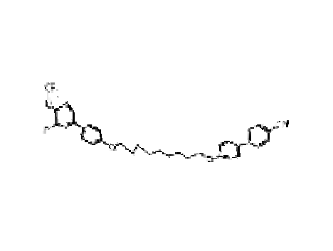 N#Cc1ccc(-c2ccc(OCCCCCCCCCOc3ccc(-c4ccc(OC(F)(F)F)c(F)c4)cc3)cc2)cc1